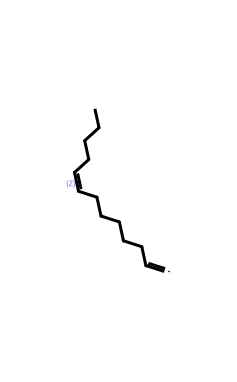 [CH]=CCCCCC/C=C\CCCC